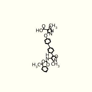 Cc1noc(-c2ccc(-c3ccc(Oc4nnn(C)c4C(=O)O)cc3)cc2)c1NC(=O)O[C@H](C)c1ccccc1